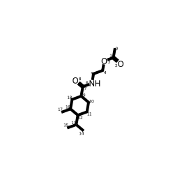 CC(=O)OCCNC(=O)C1CCC(C(C)C)C(C)C1